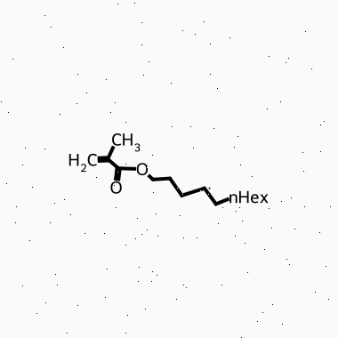 C=C(C)C(=O)OCCC[CH]CCCCCCC